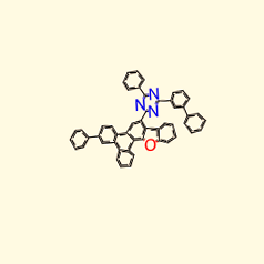 c1ccc(-c2cccc(-c3nc(-c4ccccc4)nc(-c4cc5c6ccc(-c7ccccc7)cc6c6ccccc6c5c5oc6ccccc6c45)n3)c2)cc1